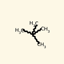 CCCCCCCC(CCCCCCC)(CCCCCCC)CCCCCCC